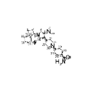 CN(C)[C@H]1CN(C2CCc3cccc(F)c32)C[C@@H]1C1CCN(c2ccc(C(N)=O)cc2)CC1